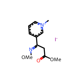 CO/N=C(\CC(=O)OC)c1ccc[n+](C)c1.[I-]